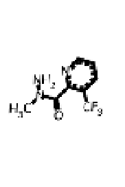 CN(N)C(=O)c1ncccc1C(F)(F)F